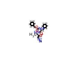 C[C@H](NC(=O)[C@H](Cc1ccccc1)NC(=O)OCc1ccccc1)C([O-])=C[N+]#N